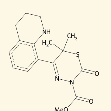 COC(=O)N1N=C(c2cccc3c2NCCC3)C(C)(C)SC1=O